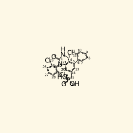 O=C1NCc2c(-c3ccccc3Cl)cc(CP(=O)(O)O)cc2N1c1c(Cl)cccc1Cl